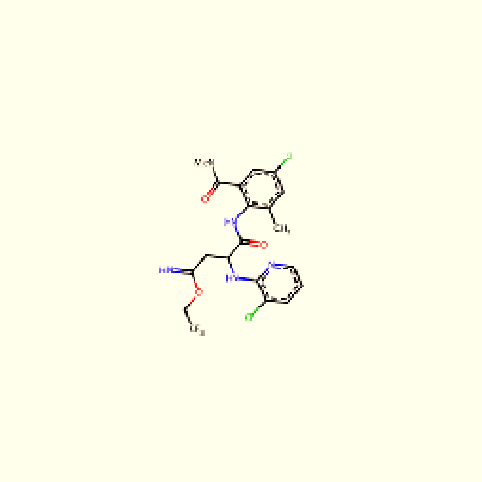 CNC(=O)c1cc(Cl)cc(C)c1NC(=O)C(CC(=N)OCC(F)(F)F)Nc1ncccc1Cl